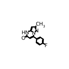 Cc1cc2[nH]c(=O)cc(-c3ccc(F)cc3)n2n1